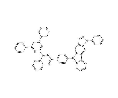 c1ccc(-c2cc(-c3ccccc3)nc(-c3nc(-c4ccc(-n5c6ccccc6c6cc7c(ccn7-c7ccccc7)cc65)cc4)nc4ccccc34)n2)cc1